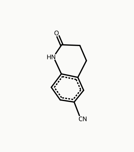 N#Cc1ccc2c(c1)CCC(=O)N2